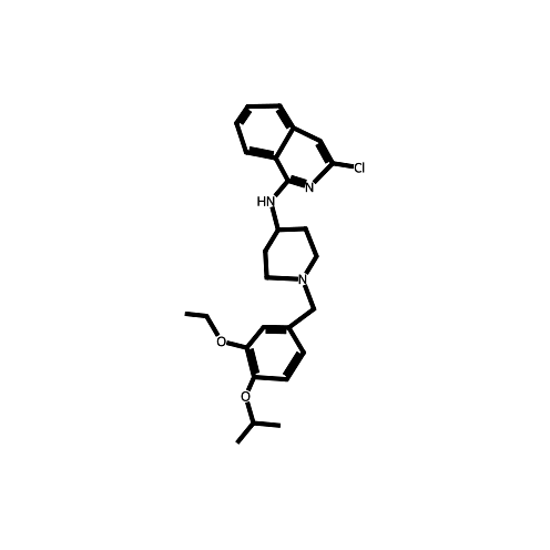 CCOc1cc(CN2CCC(Nc3nc(Cl)cc4ccccc34)CC2)ccc1OC(C)C